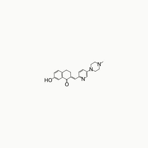 CN1CCN(c2ccc(/C=C3\CCc4ccc(O)cc4C3=O)nc2)CC1